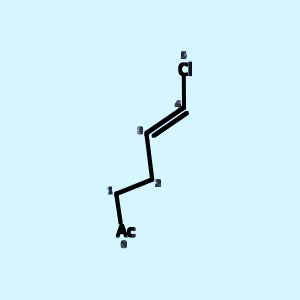 CC(=O)CCC=CCl